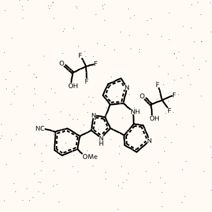 COc1ccc(C#N)cc1-c1nc2c([nH]1)-c1ccncc1Nc1ncccc1-2.O=C(O)C(F)(F)F.O=C(O)C(F)(F)F